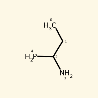 CCC(N)P